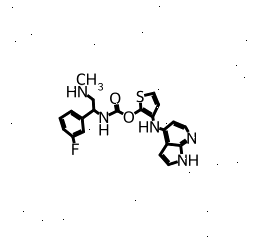 CNCC(NC(=O)Oc1sccc1Nc1ccnc2[nH]ccc12)c1cccc(F)c1